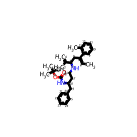 C=C(C)C(C/C(=C/C)c1ccccc1C)NCCC(Cc1ccccc1)NC(=O)OC(C)(C)C